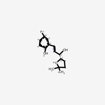 CC1(C)CC[C@@H](C(O)/C=C/c2cc(F)ccc2O)O1